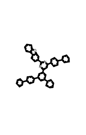 c1ccc(-c2ccc(-c3cc(-c4ccccc4)cc(-c4cc(-c5ccc(-c6ccccc6)cc5)nc(-c5ccc6c(c5)oc5ccccc56)n4)c3)cc2)cc1